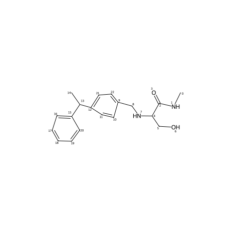 CNC(=O)C(CO)NCc1ccc(C(C)c2ccccc2)cc1